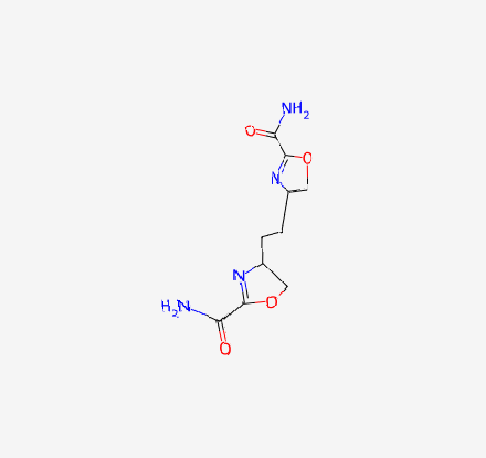 NC(=O)C1=NC(CCC2COC(C(N)=O)=N2)CO1